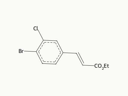 CCOC(=O)C=Cc1ccc(Br)c(Cl)c1